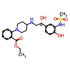 CCOC(=O)c1ccccc1N1CCC(NC[C@H](O)c2ccc(O)c(NS(C)(=O)=O)c2)CC1